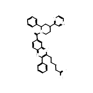 O=C(O)CCCCc1nc2cc(C(=O)N3CCC(c4cnccn4)CC3c3ccccc3)ccc2nc1-c1ccccc1